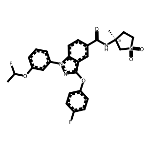 CC(F)Oc1cccc(-n2nc(Oc3ccc(F)cc3)c3cc(C(=O)N[C@@]4(C)CCS(=O)(=O)C4)ccc32)c1